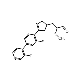 CSC(C=O)CC1CN=C(c2ccc(-c3ccncc3F)cc2F)C1